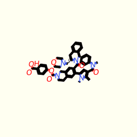 Cc1c(C(=O)N(C)c2ccccc2)cc(-c2cc3c(cc2C(=O)N2Cc4ccccc4C[C@H]2CN2CCOCC2)CN(C(=O)Oc2ccc(C(=O)O)cc2)CC3)n1C